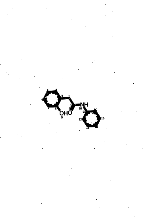 O=C(Cc1ccccc1O)Nc1[c]cccc1